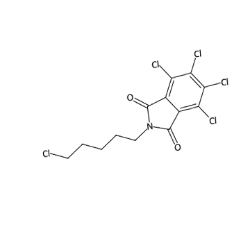 O=C1c2c(Cl)c(Cl)c(Cl)c(Cl)c2C(=O)N1CCCCCCl